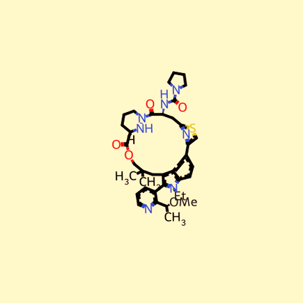 CCn1c(-c2cccnc2[C@H](C)OC)c2c3cc(ccc31)-c1csc(n1)C[C@H](NC(=O)N1CCCC1)C(=O)N1CCC[C@H](N1)C(=O)OCC(C)(C)C2